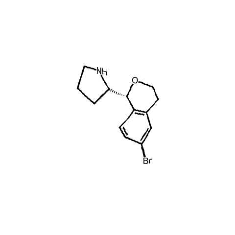 Brc1ccc2c(c1)CCO[C@H]2C1CCCN1